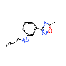 Cc1nc(-c2cccc(NCC(C)C)c2)no1